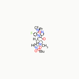 Cc1c(C(=O)[C@H]2CCN(C(=O)[C@@H]3[C@H]4C[C@H]4CN3C(=O)OC(C)(C)C)[C@H](C)C2)c2ccncc2n1-c1ccc(F)cc1C(=O)N(CC(F)(F)F)C(C)C